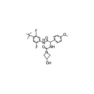 COc1ccc(C(NC(=O)N2CC(O)C2)C(=O)Nc2cc(F)c(S(C)(C)C)cc2F)cc1